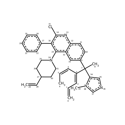 C=C/C=C(\C=C/C)C(C)(c1ccc2nc(Cl)c(-c3ccccc3)c(N3CCC(C=C)CC3)c2c1)c1cncn1C